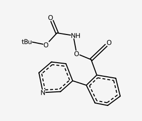 CC(C)(C)OC(=O)NOC(=O)c1ccccc1-c1cccnc1